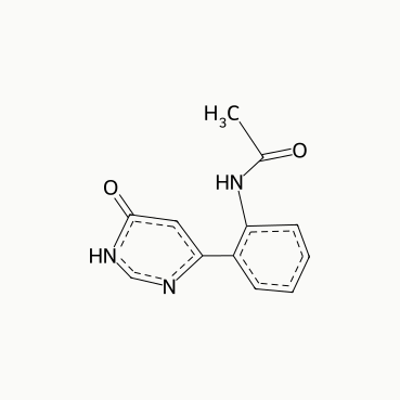 CC(=O)Nc1ccccc1-c1cc(=O)[nH]cn1